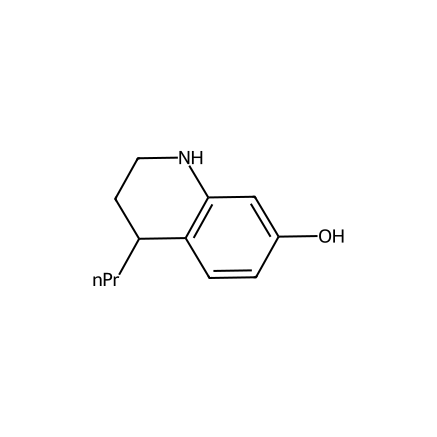 CCCC1CCNc2cc(O)ccc21